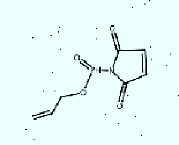 C=CCO[PH](=O)N1C(=O)C=CC1=O